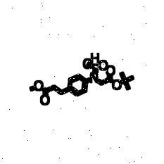 COC(=O)CCc1ccc(N(CC(=O)OC(C)(C)C)[SH](=O)=O)cc1